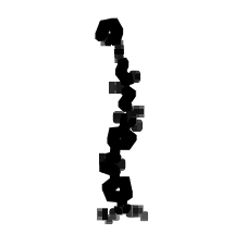 CN(C)c1ccc(-c2cnc(-c3ccc(S(=O)(=O)NCCNC(=O)CCSSc4ccccn4)cc3)o2)cc1